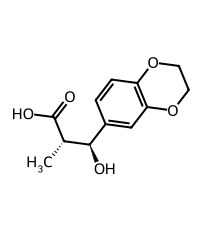 C[C@H](C(=O)O)[C@H](O)c1ccc2c(c1)OCCO2